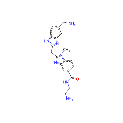 Cn1c(Cc2nc3cc(CN)ccc3[nH]2)nc2cc(C(=O)NCCN)ccc21